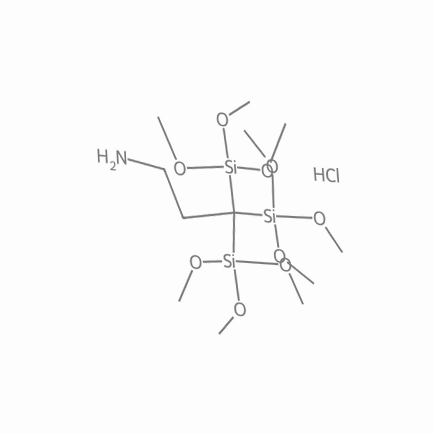 CO[Si](OC)(OC)C(CCN)([Si](OC)(OC)OC)[Si](OC)(OC)OC.Cl